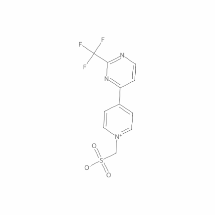 O=S(=O)([O-])C[n+]1ccc(-c2ccnc(C(F)(F)F)n2)cc1